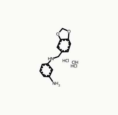 Cl.Cl.Cl.Nc1cccc(NCc2ccc3c(c2)OCO3)c1